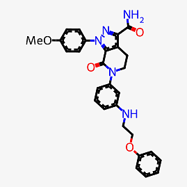 COc1ccc(-n2nc(C(N)=O)c3c2C(=O)N(c2cccc(NCCOc4ccccc4)c2)CC3)cc1